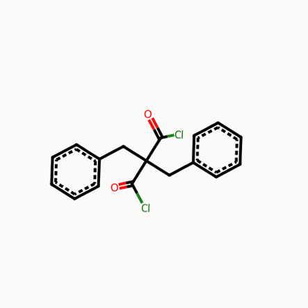 O=C(Cl)C(Cc1ccccc1)(Cc1ccccc1)C(=O)Cl